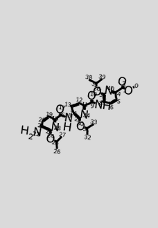 COC(=O)c1ccc(NC(=O)c2ccc(NC(=O)c3ccc(N)c(OC(C)C)n3)c(OC(C)C)n2)c(OC(C)C)n1